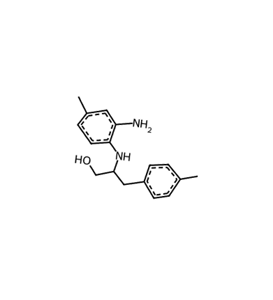 Cc1ccc(CC(CO)Nc2ccc(C)cc2N)cc1